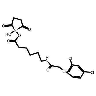 O=C(COc1ccc(Cl)cc1Cl)NCCCCCC(=O)O[N+]1(O)C(=O)CCC1=O